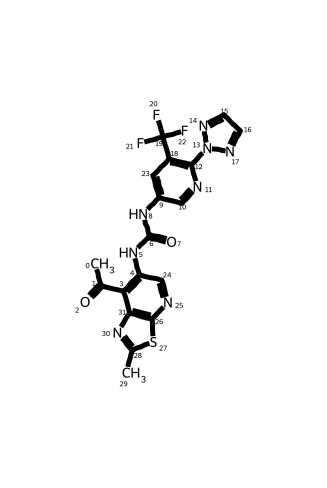 CC(=O)c1c(NC(=O)Nc2cnc(-n3nccn3)c(C(F)(F)F)c2)cnc2sc(C)nc12